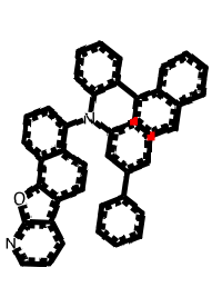 c1ccc(-c2cccc(N(c3ccccc3-c3cccc4ccccc34)c3cccc4c3ccc3c5cccnc5oc43)c2)cc1